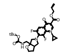 C=CCOC(=O)c1cn(C2CC2)c2c(F)c(N3CC4CCOC4(CNC(=O)OC(C)(C)C)C3)c(F)cc2c1=O